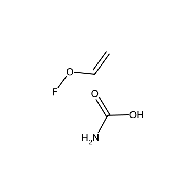 C=COF.NC(=O)O